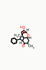 CC1C[C@H]2O[C@@H]3[C@@H](O)C[C@](C)([C@]24CC(c2ccccc2)[C@@H]4C1=O)[C@]31CO1